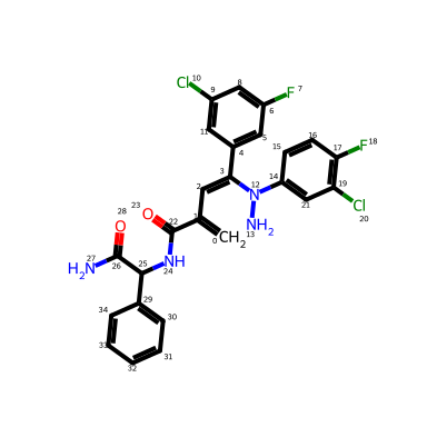 C=C(/C=C(/c1cc(F)cc(Cl)c1)N(N)c1ccc(F)c(Cl)c1)C(=O)NC(C(N)=O)c1ccccc1